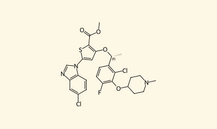 COC(=O)c1sc(-n2cnc3cc(Cl)ccc32)cc1O[C@H](C)c1ccc(F)c(OC2CCN(C)CC2)c1Cl